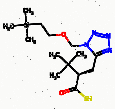 CC(C)(C)[C@@H](Cc1nnnn1COCC[Si](C)(C)C)C(=O)S